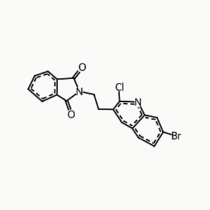 O=C1c2ccccc2C(=O)N1CCc1cc2ccc(Br)cc2nc1Cl